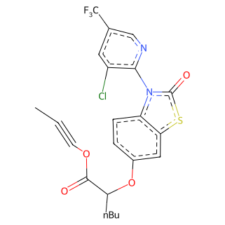 CC#COC(=O)C(CCCC)Oc1ccc2c(c1)sc(=O)n2-c1ncc(C(F)(F)F)cc1Cl